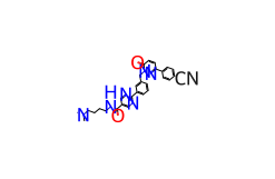 CN(C)CCCCNC(=O)c1cnc(-c2cccc(Cn3nc(-c4ccc(C#N)cc4)ccc3=O)c2)nc1